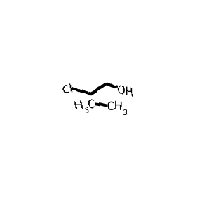 CC.OCCCl